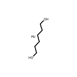 OCCCCCCO.[Pb]